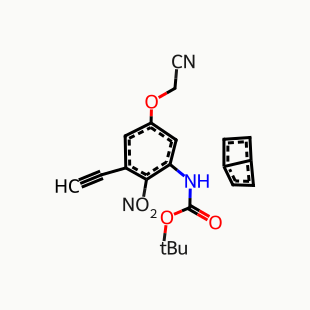 C#Cc1cc(OCC#N)cc(NC(=O)OC(C)(C)C)c1[N+](=O)[O-].c1cc2ccc1-2